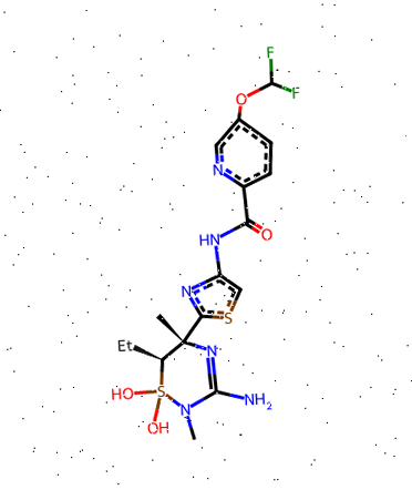 CC[C@H]1[C@](C)(c2nc(NC(=O)c3ccc(OC(F)F)cn3)cs2)N=C(N)N(C)S1(O)O